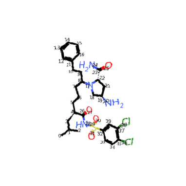 CC(C)C[C@@H](CCCC(CCc1ccccc1)N1C[C@H](N)C[C@H]1C(N)=O)C(=O)NS(=O)(=O)c1ccc(Cl)c(Cl)c1